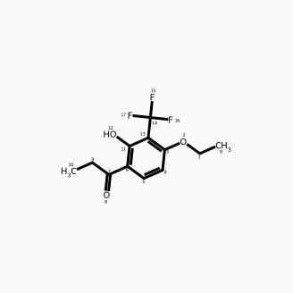 CCOc1ccc(C(=O)CC)c(O)c1C(F)(F)F